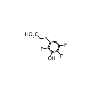 C[C@@H](CC(=O)O)c1cc(F)c(F)c(O)c1F